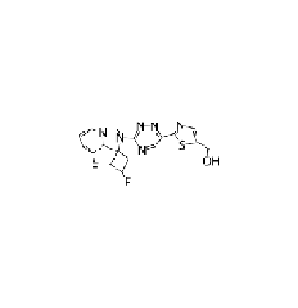 CN(c1ncc(-c2ncc(CO)s2)nn1)C1(c2ncccc2F)CC(F)C1